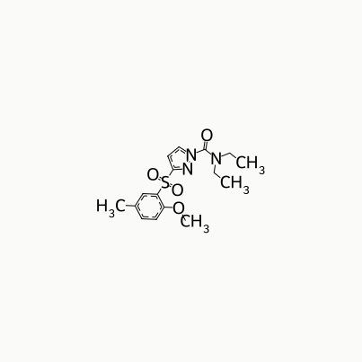 CCN(CC)C(=O)n1ccc(S(=O)(=O)c2cc(C)ccc2OC)n1